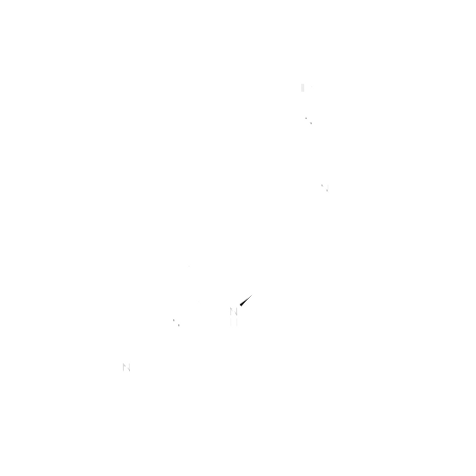 CC(C)N1CCN(C(=O)[C@H]2CC[C@H](NC(=O)N3CCNCC3c3ccccc3)CC2)CC1